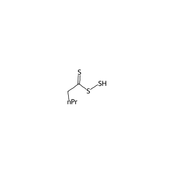 CCCCC(=S)SS